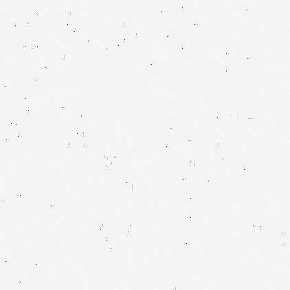 Cl.O=C(O)[C@@H]1CCCN(CCCON=C(c2ccccc2)c2ccccc2)C1